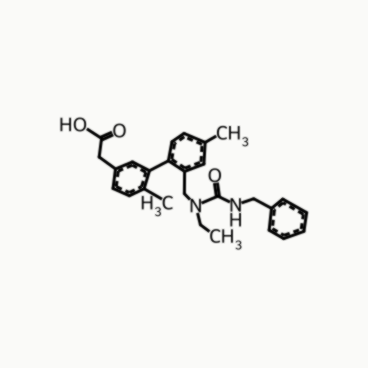 CCN(Cc1cc(C)ccc1-c1cc(CC(=O)O)ccc1C)C(=O)NCc1ccccc1